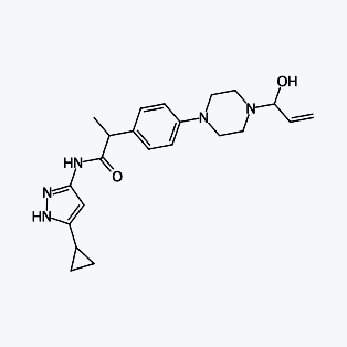 C=CC(O)N1CCN(c2ccc(C(C)C(=O)Nc3cc(C4CC4)[nH]n3)cc2)CC1